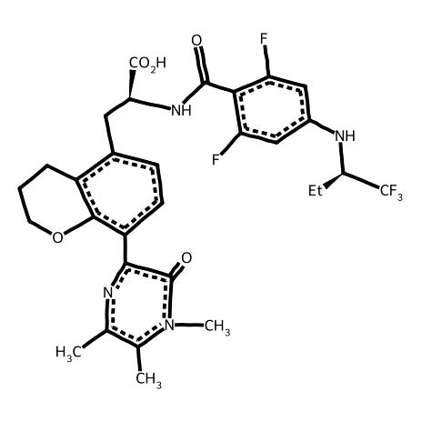 CC[C@@H](Nc1cc(F)c(C(=O)N[C@@H](Cc2ccc(-c3nc(C)c(C)n(C)c3=O)c3c2CCCO3)C(=O)O)c(F)c1)C(F)(F)F